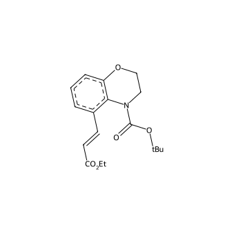 CCOC(=O)/C=C/c1cccc2c1N(C(=O)OC(C)(C)C)CCO2